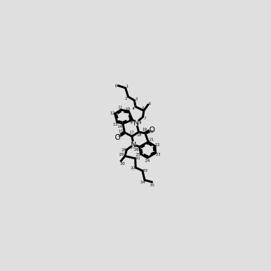 CCCCCC(C)CN1c2ccccc2C(=O)C2C1C(=O)c1ccccc1N2CC(C)CCCCC